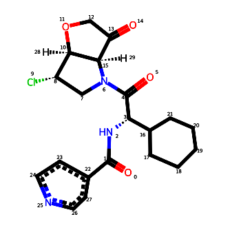 O=C(N[C@H](C(=O)N1C[C@H](Cl)[C@H]2OCC(=O)[C@H]21)C1CCCCC1)c1ccncc1